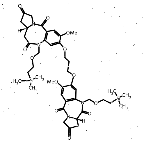 COc1cc2c(cc1OCCCOc1cc3c(cc1OC)C(=O)N1CC(=O)C[C@H]1C(=O)N3COCC[Si](C)(C)C)N(COCC[Si](C)(C)C)C(=O)C[C@@H]1CC(=O)CN1C2=O